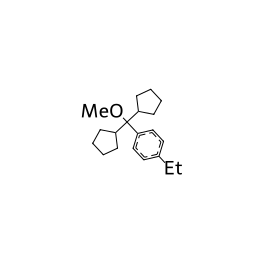 CCc1ccc(C(OC)(C2CCCC2)C2CCCC2)cc1